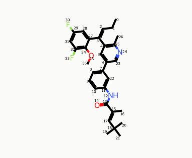 CC/C=C(\c1cc(-c2cccc(NC(=O)/C(C)=C/C(C)(C)C)c2)cnc1C)c1cc(F)cc(F)c1OC